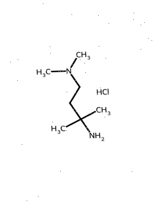 CN(C)CCC(C)(C)N.Cl